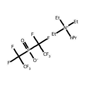 CCC[N+](CC)(CC)CC.O=P([O-])(C(F)(F)C(F)(F)F)C(F)(F)C(F)(F)F